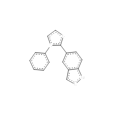 c1ccc(-n2ccnc2-c2ccc3[nH]ncc3c2)cc1